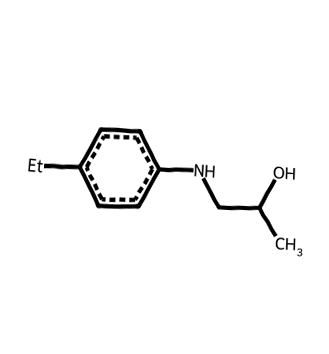 CCc1ccc(NCC(C)O)cc1